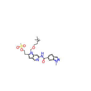 Cn1ncc2ccc(C(=O)Nc3cc4c(cn3)cc(CCOS(C)(=O)=O)n4COCC[Si](C)(C)C)cc21